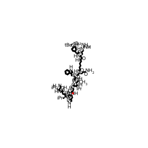 CC(C)C[C@H](NC(=O)C[C@H](O)[C@H](CC(C)C)NC(=O)[C@H](Cc1c[nH]cn1)NC(=O)CN(C)C(=O)[C@@H](NC(=O)[C@H](C)NC(=O)[C@H](Cc1c[nH]c2ccccc12)NC(=O)[C@H](CCC(N)=O)NC(=O)CCCCNC(=O)[C@H](CCCNC(=N)N)NC(=O)Cc1ccc([SiH](C(C)(C)C)C(C)(C)C)cc1)C(C)C)C(N)=O